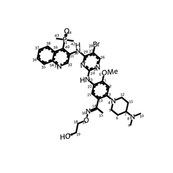 COc1cc(N2CCC(N(C)C)CC2)c(/C(C)=N/OCCO)cc1Nc1ncc(Br)c(Nc2cnc3ccccc3c2P(C)(C)=O)n1